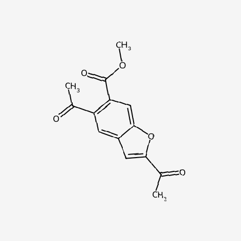 COC(=O)c1cc2oc(C(C)=O)cc2cc1C(C)=O